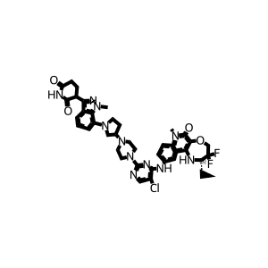 Cn1nc(C2CCC(=O)NC2=O)c2cccc(N3CCC(N4CCN(c5ncc(Cl)c(Nc6ccc7c(c6)c6c(c(=O)n7C)OCC(F)(F)[C@H](C7CC7)N6)n5)CC4)C3)c21